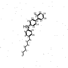 CCCCCCCc1ccc(Nc2ccc(-c3ccccc3C)cc2)cc1